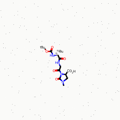 CC[C@H](C)[C@H](NC(=O)OC(C)(C)C)C(=O)NCC(=O)N1C(=O)N(C)CC1C(=O)O